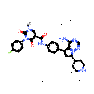 CCn1cc(C(=O)Nc2ccc(-c3cc(C4CCNCC4)n4ncnc(N)c34)cc2)c(=O)n(-c2ccc(F)cc2)c1=O